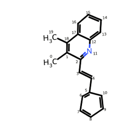 Cc1c(C=Cc2ccccc2)nc2ccccc2c1C